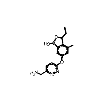 CCC1OB(O)c2cc(Oc3ccc(CN)nn3)cc(C)c21